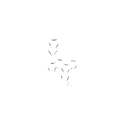 Brc1ccc2c(c1)c1ccccc1c1cc(-c3ccc4ccccc4c3)c3ccccc3c21